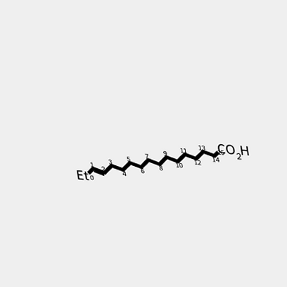 CCC=CCCCCCCCCCCCCC(=O)O